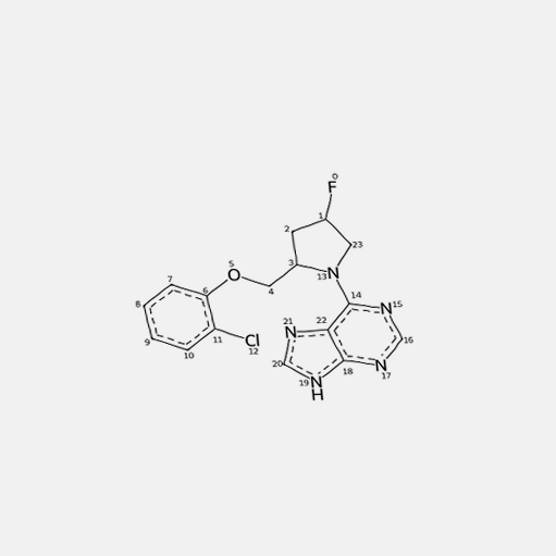 FC1CC(COc2ccccc2Cl)N(c2ncnc3[nH]cnc23)C1